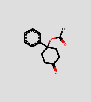 CCC(=O)OC1(c2ccccc2)CCC(=O)CC1